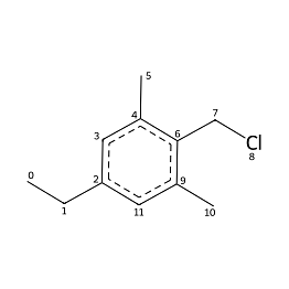 CCc1cc(C)c(CCl)c(C)c1